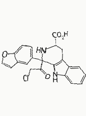 O=C(O)C1Cc2c([nH]c3ccccc23)C(C(=O)CCl)(c2ccc3occc3c2)N1